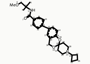 COCC(C)(C)NC(=O)c1ccc(-c2ccc3c(c2)COC2(CCN(C4CCC4)CC2)O3)cc1